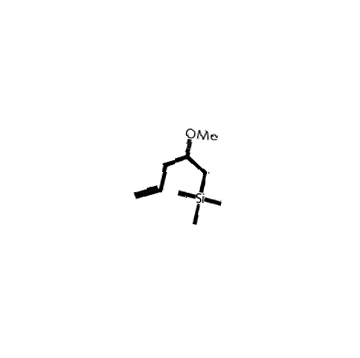 C=CCC([CH][Si](C)(C)C)OC